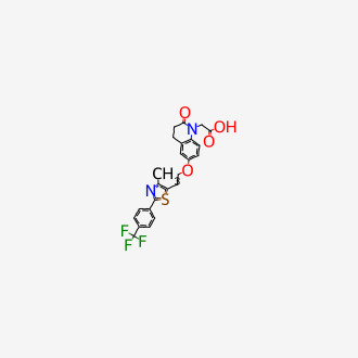 Cc1nc(-c2ccc(C(F)(F)F)cc2)sc1CCOc1ccc2c(c1)CCC(=O)N2CC(=O)O